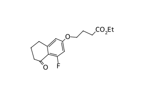 CCOC(=O)CCCOc1cc(F)c2c(c1)CCCC2=O